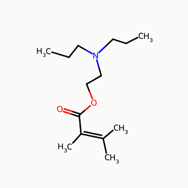 CCCN(CCC)CCOC(=O)C(C)=C(C)C